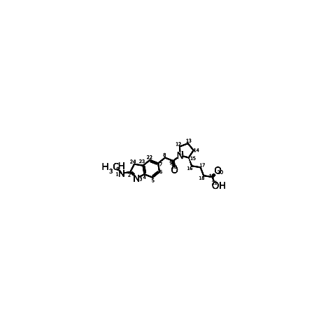 CNC1=Nc2ccc(CC(=O)N3CCC[C@H]3CCCC(=O)O)cc2C1